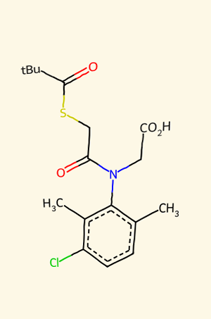 Cc1ccc(Cl)c(C)c1N(CC(=O)O)C(=O)CSC(=O)C(C)(C)C